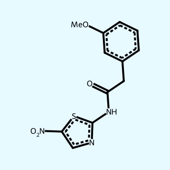 COc1cccc(CC(=O)Nc2ncc([N+](=O)[O-])s2)c1